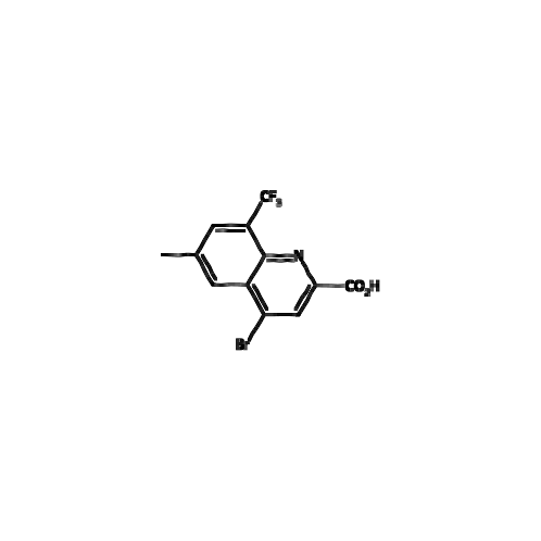 Cc1cc(C(F)(F)F)c2nc(C(=O)O)cc(Br)c2c1